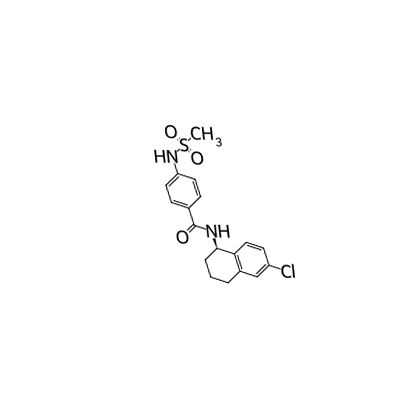 CS(=O)(=O)Nc1ccc(C(=O)N[C@@H]2CCCc3cc(Cl)ccc32)cc1